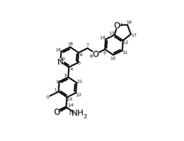 Cc1cc(-c2cc(COc3ccc4c(c3)OCC4)ccn2)ccc1C(N)=O